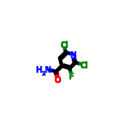 NC(=O)c1cc(Cl)nc(Cl)c1F